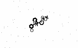 COc1cccc(-c2nc(C3CCCN(C(=O)OC(C)(C)C)C3)c3ccccn23)c1